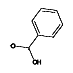 [O][C](O)c1ccccc1